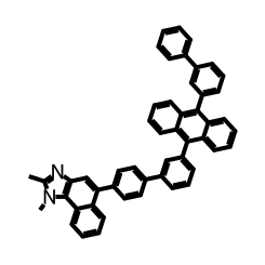 Cc1nc2cc(-c3ccc(-c4cccc(-c5c6ccccc6c(-c6cccc(-c7ccccc7)c6)c6ccccc56)c4)cc3)c3ccccc3c2n1C